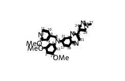 COc1cc(OC)cc(N(Cc2ccnc(OC)c2)c2ccc3ncc(-c4cnn(C)c4)nc3c2)c1